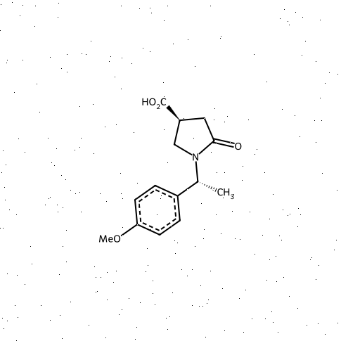 COc1ccc([C@@H](C)N2C[C@@H](C(=O)O)CC2=O)cc1